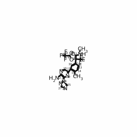 CNC(=O)[C@@](OC(=O)C(F)(F)F)(c1ccc(C)c(-c2cnc(N)c(-n3cncn3)n2)c1)C(F)(F)F